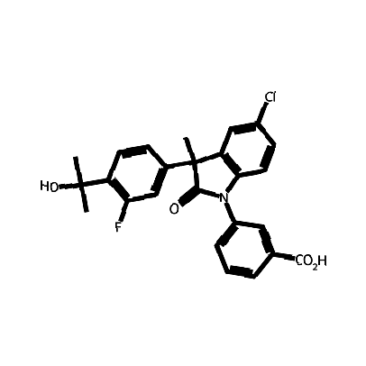 CC(C)(O)c1ccc(C2(C)C(=O)N(c3cccc(C(=O)O)c3)c3ccc(Cl)cc32)cc1F